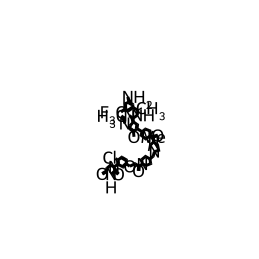 COc1cc2nc(C)nc(N[C@H](C)c3cc(N)cc(C(F)(F)F)c3)c2cc1C1CCC(C(=O)N2CCN(CC3CCN(C(=O)COc4ccc(Cl)c(N5CCC(=O)NC5=O)c4)CC3)CC2)CC1